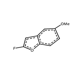 COc1ccc2oc(F)cc2c1